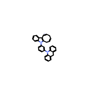 C1=CCc2c(c3ccccc3n2-c2cccc(N3c4ccccc4Cc4ccccc43)c2)/C=C\C1